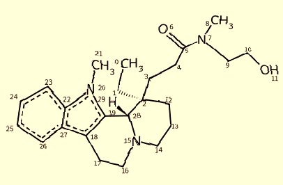 CC[C@]1(CCC(=O)N(C)CCO)CCCN2CCc3c(n(C)c4ccccc34)[C@@H]21